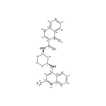 O=C(N[C@@H]1CCC[C@H](Nc2cc(C(F)(F)F)nc3ccccc23)C1)c1coc2ccccc2c1=O